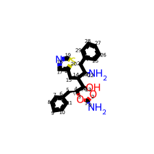 NC(=O)O[C@@H](Cc1ccccc1)[C@H](O)C(Cc1cncs1)[C@@H](N)Cc1ccccc1